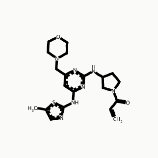 C=CC(=O)N1CCC(Nc2nc(CN3CCOCC3)cc(Nc3ncc(C)s3)n2)C1